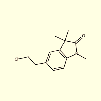 CN1C(=O)C(C)(C)c2cc(CCCl)ccc21